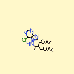 CC(=O)OCC(COC(C)=O)C(C)Nn1cnc2ncnc(Cl)c21